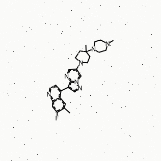 Cc1cc2c(-c3cnn4cc(N5CCC(C)(N6CCN(C)CC6)CC5)cnc34)ccnc2cc1F